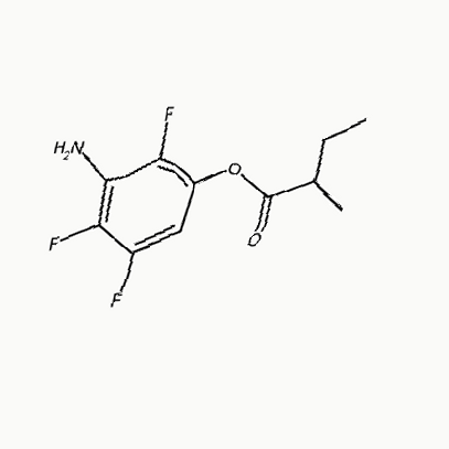 CCC(C)C(=O)Oc1cc(F)c(F)c(N)c1F